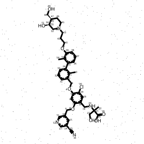 Cc1c(COc2cc(OCc3cncc(C#N)c3)c(CNC(C)(CO)C(=O)O)cc2Cl)cccc1-c1cccc(OCCCN2CC[C@H](CO)[C@H](O)C2)c1C